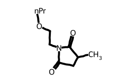 CCCOCCN1C(=O)CC(C)C1=O